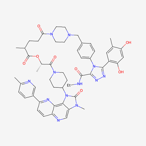 CCNC(=O)c1nnc(-c2cc(C)c(O)cc2O)n1-c1ccc(CN2CCN(C(=O)CCC(C)C(=O)O[C@@H](C)C(=O)N3CCC(n4c(=O)n(C)c5cnc6ccc(-c7ccc(C)nc7)nc6c54)CC3)CC2)cc1